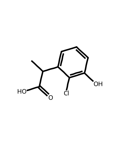 CC(C(=O)O)c1cccc(O)c1Cl